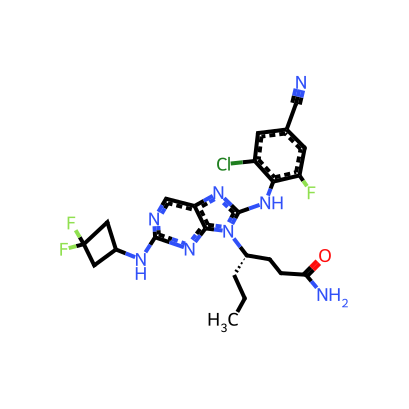 CCC[C@@H](CCC(N)=O)n1c(Nc2c(F)cc(C#N)cc2Cl)nc2cnc(NC3CC(F)(F)C3)nc21